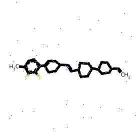 C=CC1CCC(C2CCC(/C=C/C3CC=C(c4ccc(C)c(F)c4F)CC3)CC2)CC1